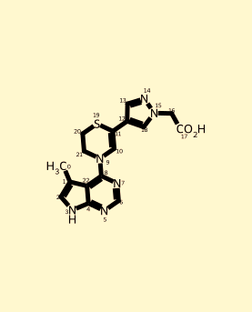 Cc1c[nH]c2ncnc(N3C=C(c4cnn(CC(=O)O)c4)SCC3)c12